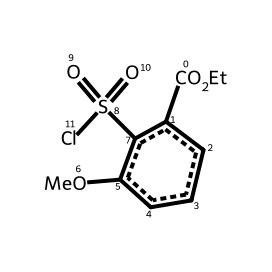 CCOC(=O)c1cccc(OC)c1S(=O)(=O)Cl